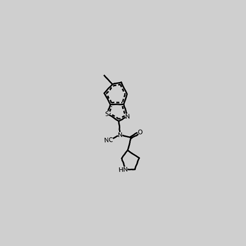 Cc1ccc2nc(N(C#N)C(=O)C3CCNC3)sc2c1